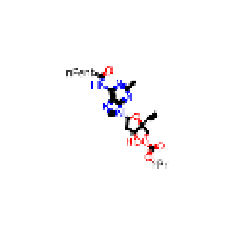 C#C[C@]1(COC(=O)OCCC)O[C@@H](n2cnc3c(NC(=O)CCCCC)nc(C)nc32)C[C@@H]1O